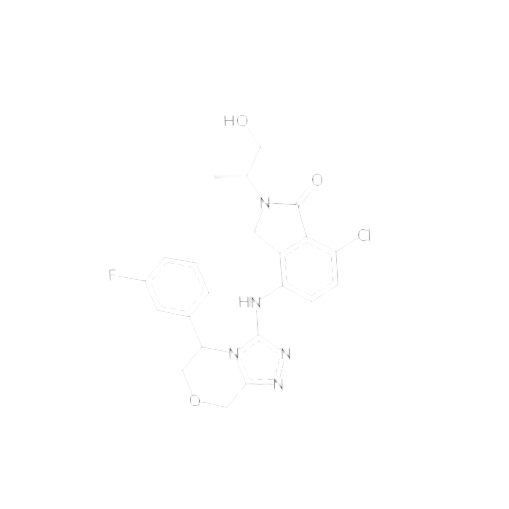 C[C@H](CO)N1Cc2c(Nc3nnc4n3C(c3cccc(F)c3)COC4)ccc(Cl)c2C1=O